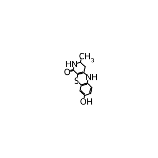 CC1CC2=C(Sc3cc(O)ccc3N2)C(=O)N1